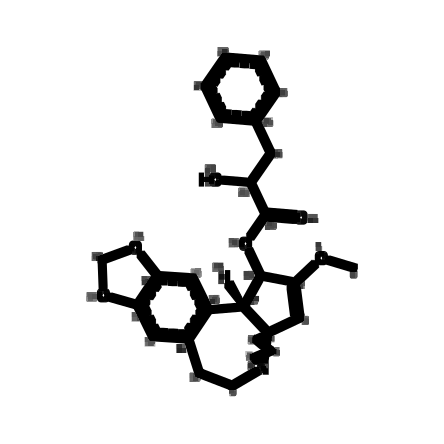 COC1=C[C@]23CCCN2CCc2cc4c(cc2[C@@H]3C1OC(=O)C(O)Cc1ccccc1)OCO4